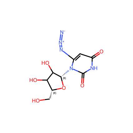 [N-]=[N+]=Nc1cc(=O)[nH]c(=O)n1[C@@H]1O[C@H](CO)C(O)C1O